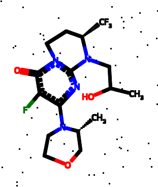 CC(O)CN1c2nc(N3CCOC[C@H]3C)c(F)c(=O)n2CC[C@H]1C(F)(F)F